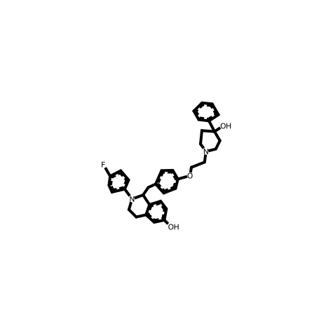 Oc1ccc2c(c1)CCN(c1ccc(F)cc1)C2Cc1ccc(OCCN2CCC(O)(c3ccccc3)CC2)cc1